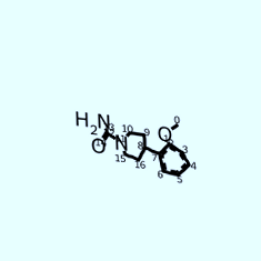 COc1ccccc1C1CCN(C(N)=O)CC1